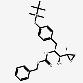 CC(C)(C)[Si](C)(C)Oc1ccc(C[C@H](NC(=O)OCc2ccccc2)[C@H](O)[C@@]2(C)CO2)cc1